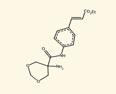 CCOC(=O)/C=C/c1ccc(NC(=O)C2(N)COCOC2)cc1